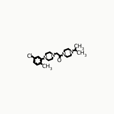 Cc1ccc(Cl)cc1N1CCN(CC(=O)N2CCN(C(C)C)CC2)CC1